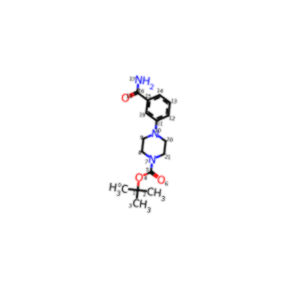 CC(C)(C)OC(=O)N1CCN(c2cccc(C(N)=O)c2)CC1